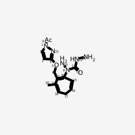 CC(=O)n1ccc(OCC2=C(N(N)C(=O)NN)C=CCC=C2C)n1